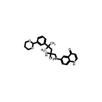 CC(C)(CC(O)(CNc1ccc2[nH]ccc(=O)c2c1)C(F)(F)F)c1cccc(C2OCCCO2)c1